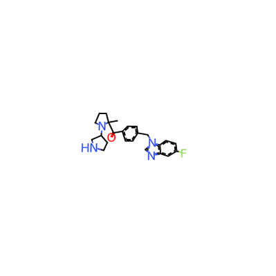 CC1(C(=O)c2ccc(Cn3cnc4cc(F)ccc43)cc2)CCCN1C1CCNC1